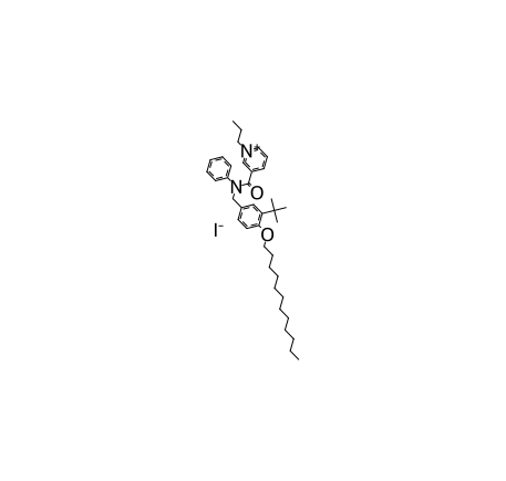 CCCCCCCCCCCCOc1ccc(CN(C(=O)c2ccc[n+](CCC)c2)c2ccccc2)cc1C(C)(C)C.[I-]